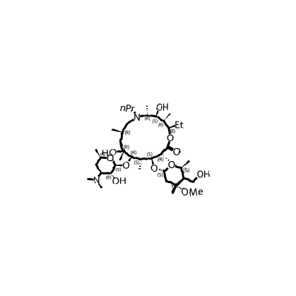 CCCN1C[C@H](C)C[C@@](C)(O)[C@H](O[C@@H]2O[C@H](C)CC(N(C)C)[C@H]2O)[C@@H](C)[C@H](O[C@H]2C[C@@](C)(OC)C(CO)[C@H](C)O2)[C@@H](C)C(=O)O[C@H](CC)[C@H](C)[C@H](O)[C@H]1C